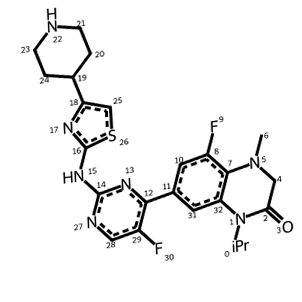 CC(C)N1C(=O)CN(C)c2c(F)cc(-c3nc(Nc4nc(C5CCNCC5)cs4)ncc3F)cc21